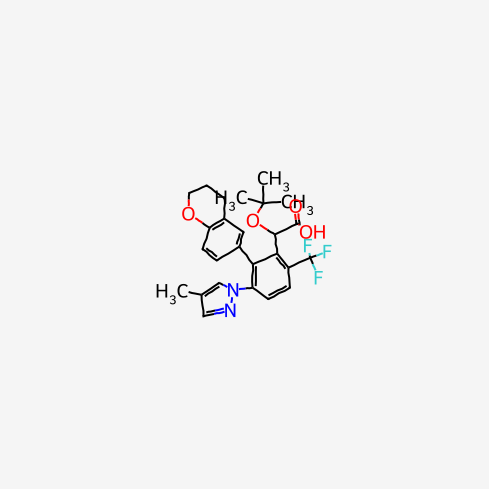 Cc1cnn(-c2ccc(C(F)(F)F)c(C(OC(C)(C)C)C(=O)O)c2-c2ccc3c(c2)CCCO3)c1